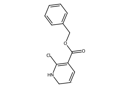 O=C(OCc1ccccc1)C1=C(Cl)NC[C]=C1